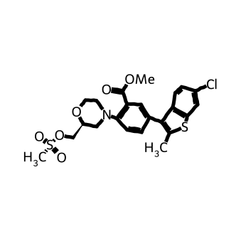 COC(=O)c1cc(-c2c(C)sc3cc(Cl)ccc23)ccc1N1CCO[C@H](COS(C)(=O)=O)C1